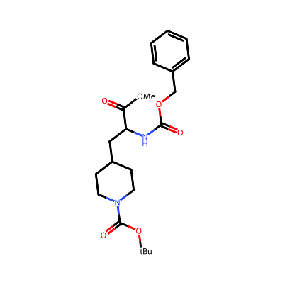 COC(=O)C(CC1CCN(C(=O)OC(C)(C)C)CC1)NC(=O)OCc1ccccc1